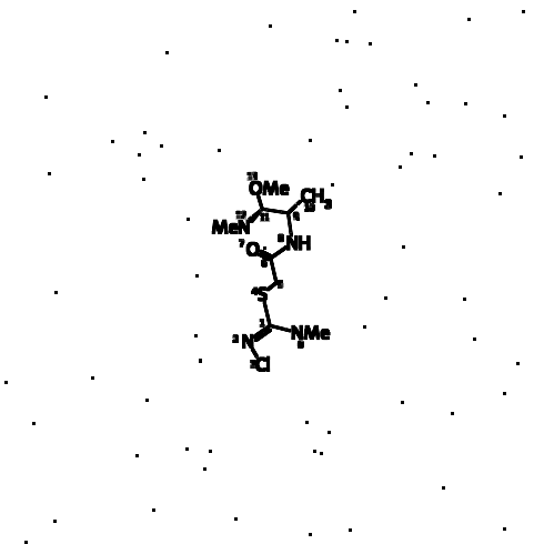 CN/C(=N\Cl)SCC(=O)NC(C)[C@@H](NC)OC